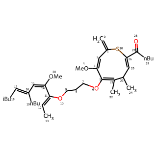 C=C1/C=C(OC)\C(OCCCOC(=C\C)/C(=C\C(=C\C(C)CC)CCCC)OC)=C(\C)C(C)/C=C(/C(=O)CCCC)S1